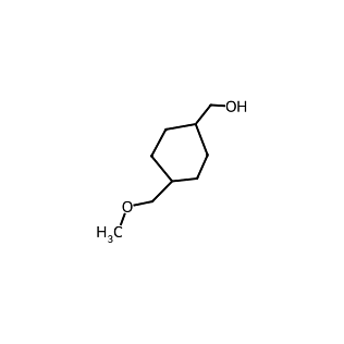 COCC1CCC(CO)CC1